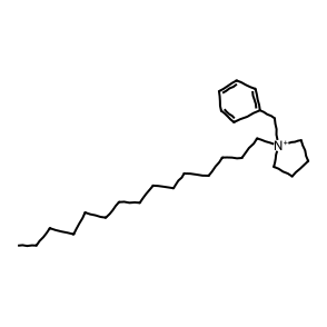 CCCCCCCCCCCCCCC[N+]1(Cc2ccccc2)CCCC1